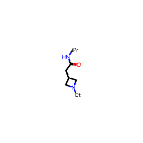 CCN1CC(CC(=O)NC(C)C)C1